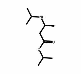 CC(C)N[C@@H](C)CC(=O)OC(C)C